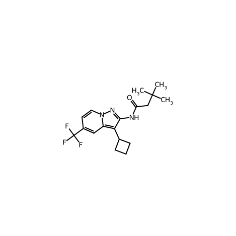 CC(C)(C)CC(=O)Nc1nn2ccc(C(F)(F)F)cc2c1C1CCC1